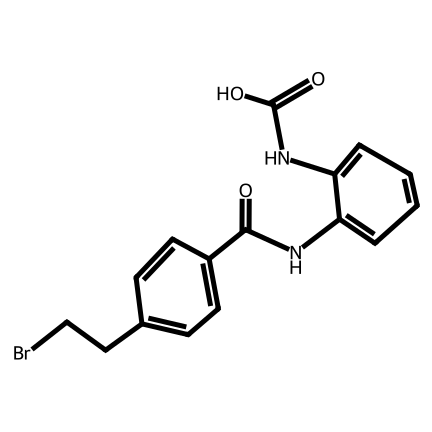 O=C(O)Nc1ccccc1NC(=O)c1ccc(CCBr)cc1